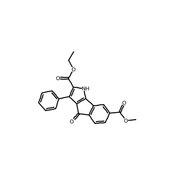 CCOC(=O)c1[nH]c2c(c1-c1ccccc1)C(=O)c1ccc(C(=O)OC)cc1-2